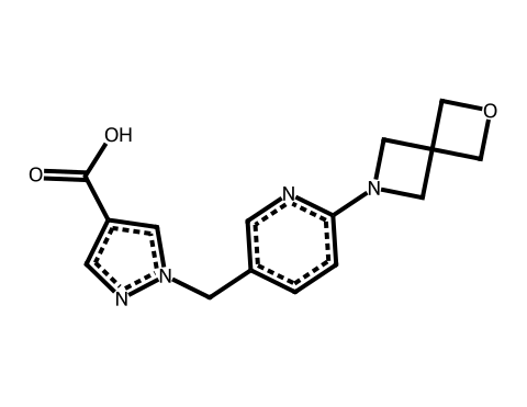 O=C(O)c1cnn(Cc2ccc(N3CC4(COC4)C3)nc2)c1